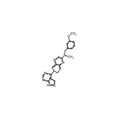 COc1cccc(CN(C)c2cnc3c(n2)=CCC(c2ncnc4[nH]ncc24)C=3)c1